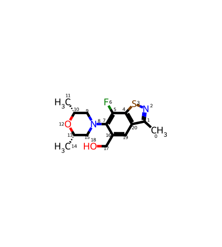 Cc1nsc2c(F)c(N3C[C@@H](C)O[C@@H](C)C3)c(CO)cc12